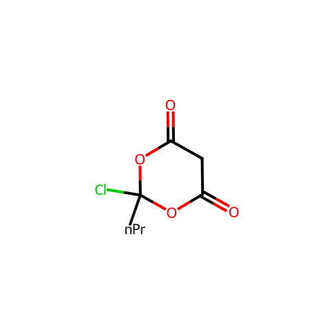 CCCC1(Cl)OC(=O)CC(=O)O1